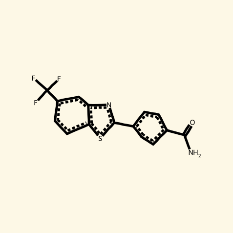 NC(=O)c1ccc(-c2nc3cc(C(F)(F)F)ccc3s2)cc1